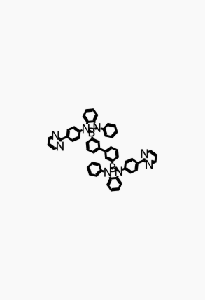 c1ccc(N2B(c3cccc(-c4cccc(B5N(c6ccccc6)c6ccccc6N5c5ccc(-c6ncccn6)cc5)c4)c3)N(c3ccc(-c4ncccn4)cc3)c3ccccc32)cc1